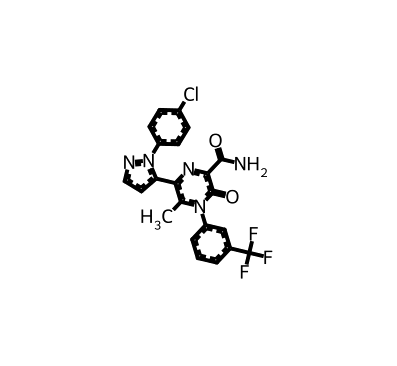 Cc1c(-c2ccnn2-c2ccc(Cl)cc2)nc(C(N)=O)c(=O)n1-c1cccc(C(F)(F)F)c1